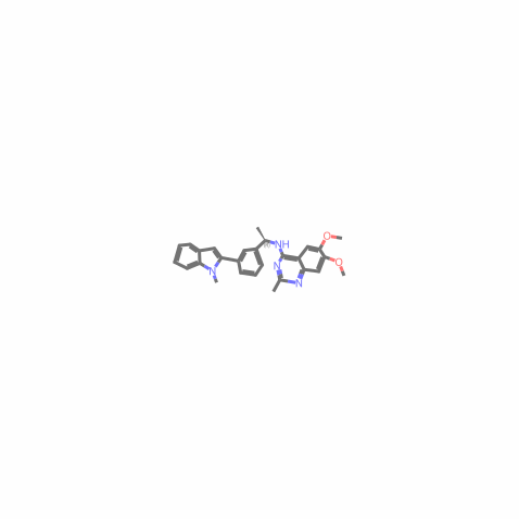 COc1cc2nc(C)nc(N[C@H](C)c3cccc(-c4cc5ccccc5n4C)c3)c2cc1OC